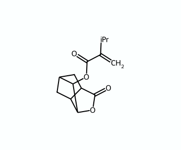 C=C(C(=O)OC1C2CC3C(=O)OC1C3C2)C(C)C